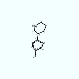 Fc1ccc([C@@H]2CCCNC2)cc1